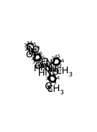 COc1ccc(OC)c(Nc2nc3ccccc3nc2NS(=O)(=O)c2ccc(S(=O)(=O)N3CCCC3)cc2)c1